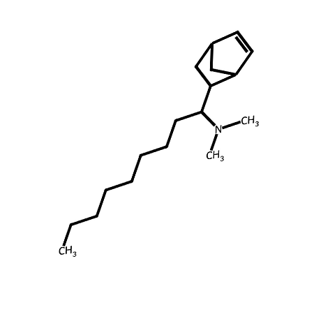 CCCCCCCCC(C1CC2C=CC1C2)N(C)C